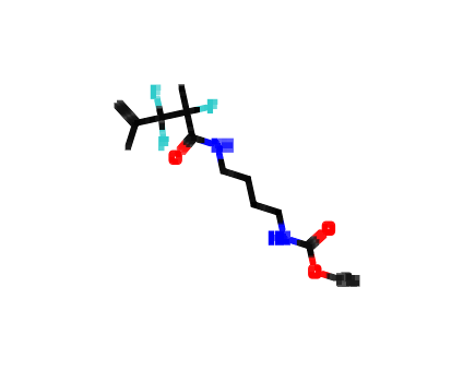 C=C(C)C(F)(F)C(C)(F)C(=O)NCCCCNC(=O)OC(C)(C)C